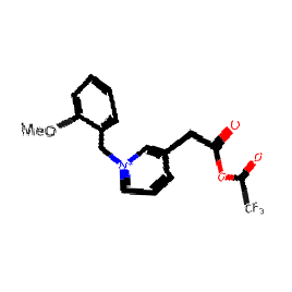 COc1ccccc1C[n+]1cccc(CC(=O)OC(=O)C(F)(F)F)c1